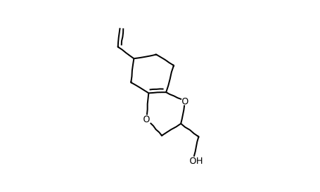 C=CC1CCC2=C(C1)OCC(CO)O2